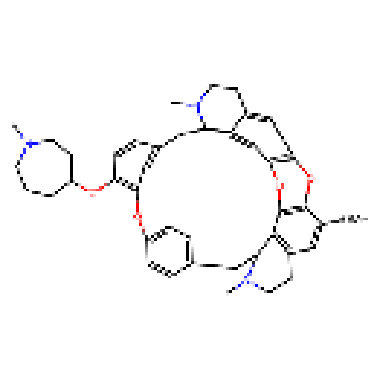 COc1cc2c3c4c1Oc1cc5c(cc1O4)C(Cc1ccc(OC4CCCN(C)CC4)c(c1)Oc1ccc(cc1)CC3N(C)CC2)N(C)CC5